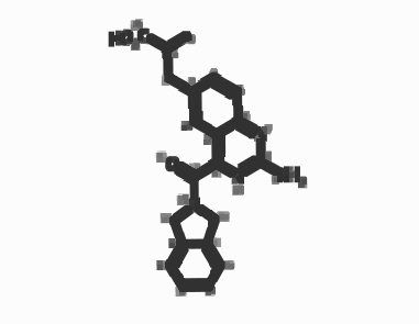 CC(Cc1ccc2nc(N)nc(C(=O)N3Cc4ccccc4C3)c2c1)C(=O)O